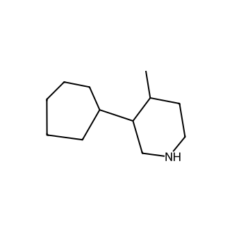 CC1CCNCC1C1CCCCC1